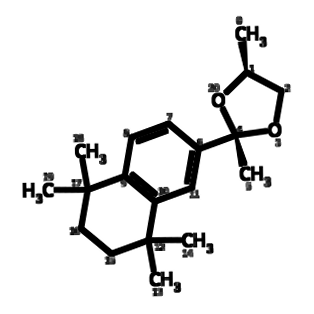 C[C@H]1CO[C@](C)(c2ccc3c(c2)C(C)(C)CCC3(C)C)O1